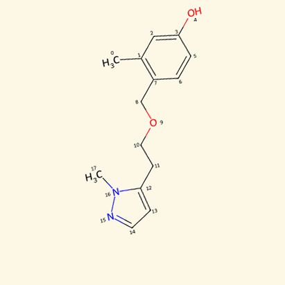 Cc1cc(O)ccc1COCCc1ccnn1C